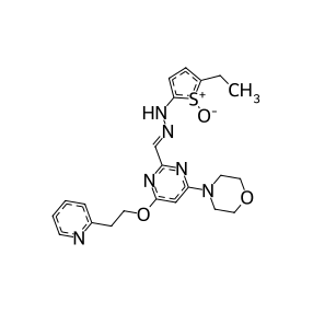 CCc1ccc(NN=Cc2nc(OCCc3ccccn3)cc(N3CCOCC3)n2)[s+]1[O-]